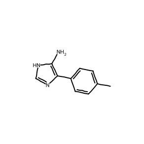 Cc1ccc(-c2nc[nH]c2N)cc1